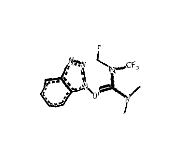 CN(C)C(=[O+]n1nnc2ccccc21)N(CF)C(F)(F)F